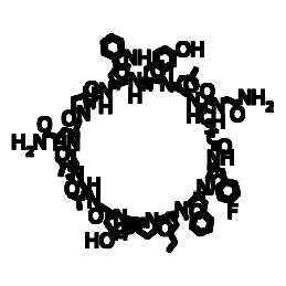 CCCC[C@H]1C(=O)N2CCC[C@@H]2C(=O)N[C@@H](CC(=O)O)C(=O)N[C@@H](C(C)C)C(=O)N(C)[C@@H](C(C)C)C(=O)N[C@@H](CCC(N)=O)C(=O)N2CCC[C@@H]2C(=O)N[C@@H](Cc2c[nH]c3ccccc23)C(=O)N[C@@H](Cc2ccc(O)cc2)C(=O)N[C@@H](CC(C)C)C(=O)N[C@H](C(=O)NCC(N)=O)CSCC(=O)N[C@@H](Cc2ccc(F)cc2)C(=O)N(C)[C@@H](Cc2ccccc2)C(=O)N1C